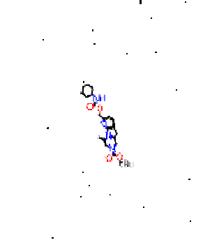 CC1CN(C(=O)OC(C)(C)C)CC2Cc3ccc(COC(=O)NC4CCCCC4)nc3N12